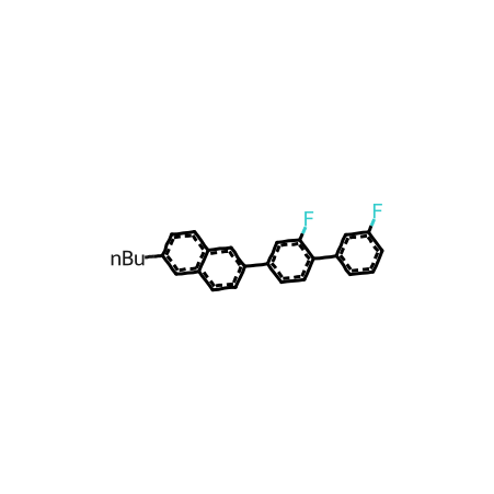 CCCCc1ccc2cc(-c3ccc(-c4cccc(F)c4)c(F)c3)ccc2c1